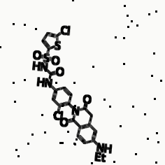 CCNc1ccc2c(c1)CC(=O)N(c1ccc(NC(=O)NS(=O)(=O)c3ccc(Cl)s3)cc1Cl)C2=O